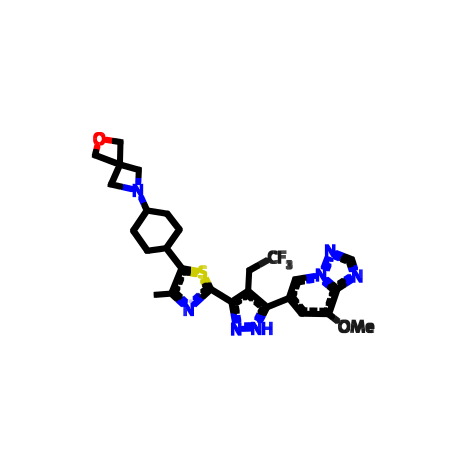 COc1cc(-c2[nH]nc(-c3nc(C)c(C4CCC(N5CC6(COC6)C5)CC4)s3)c2CC(F)(F)F)cn2ncnc12